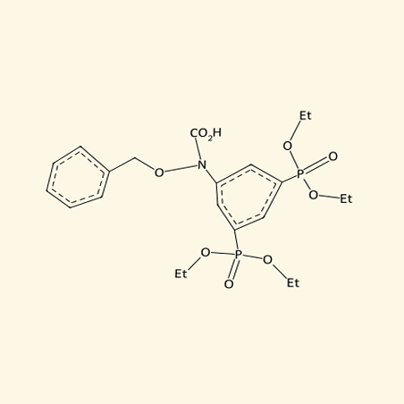 CCOP(=O)(OCC)c1cc(N(OCc2ccccc2)C(=O)O)cc(P(=O)(OCC)OCC)c1